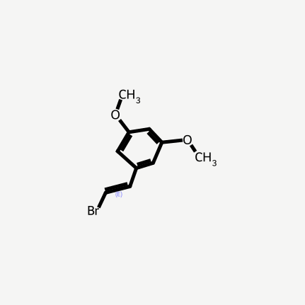 COc1cc(/C=C/Br)cc(OC)c1